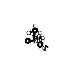 CCN(CC)c1ccc(NC2(NC(C)=O)C(=O)N(c3c(Cl)cc(Cl)cc3Cl)N=C2Cc2ccccc2)cc1